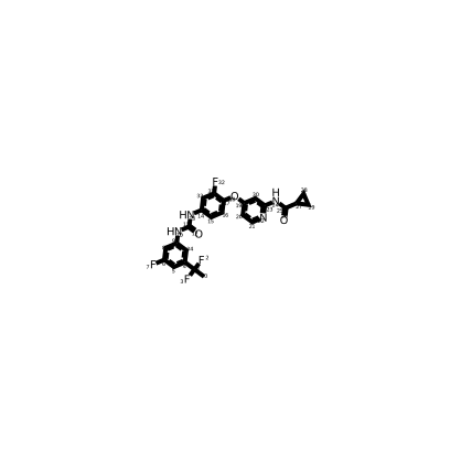 CC(F)(F)c1cc(F)cc(NC(=O)Nc2ccc(Oc3ccnc(NC(=O)C4CC4)c3)c(F)c2)c1